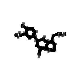 O=C(O)Cc1cccc2c(=O)cc(-c3ccc(Cl)c([N+](=O)[O-])c3)oc12